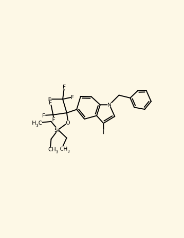 CC[Si](CC)(CC)OC(c1ccc2c(c1)c(I)cn2Cc1ccccc1)(C(F)(F)F)C(F)(F)F